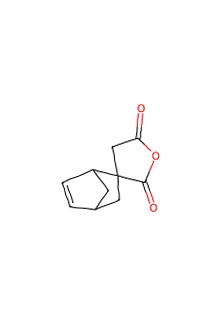 O=C1CC2(CC3C=CC2C3)C(=O)O1